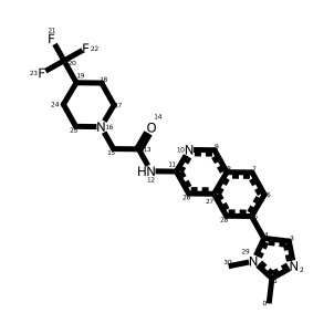 Cc1ncc(-c2ccc3cnc(NC(=O)CN4CCC(C(F)(F)F)CC4)cc3c2)n1C